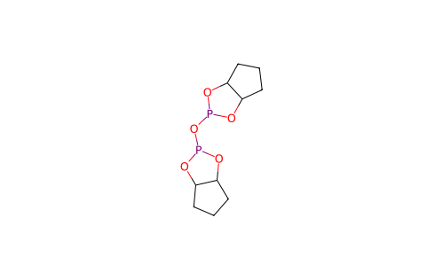 C1CC2OP(OP3OC4CCCC4O3)OC2C1